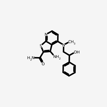 CN(CC(O)c1ccccc1)c1ccnc2sc(C(N)=O)c(N)c12